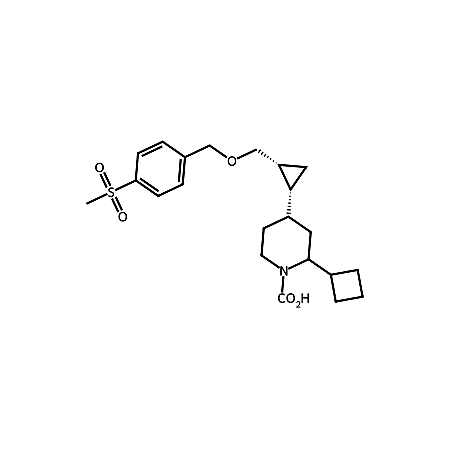 CS(=O)(=O)c1ccc(COC[C@@H]2C[C@@H]2C2CCN(C(=O)O)C(C3CCC3)C2)cc1